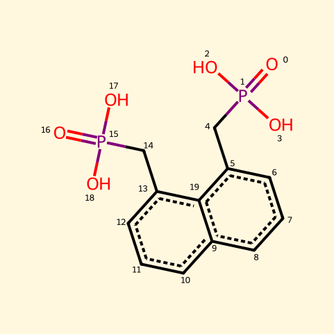 O=P(O)(O)Cc1cccc2cccc(CP(=O)(O)O)c12